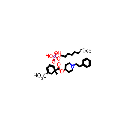 CC1(C(=O)OC2CCN(CCc3ccccc3)CC2)C=CC=C(C(=O)O)C1.CCCCCCCCCCCCCCCCOP(=O)(O)O